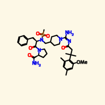 COc1cc(C)cc(C)c1C(C)(C)CC(=O)N=C(N)N1CCC(CN([C@H](Cc2ccccc2)C(=O)N2CCC[C@H]2C(N)=O)S(C)(=O)=O)CC1